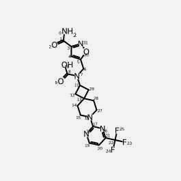 NC(=O)c1cc(CN(C(=O)O)C2CC3(CCN(c4nccc(C(F)(F)F)n4)CC3)C2)on1